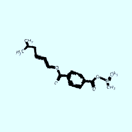 CC(C)CCCCOC(=O)c1ccc(C(=O)OP(C)C)cc1